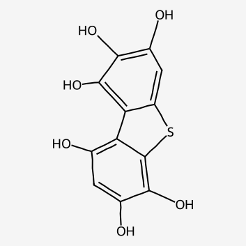 Oc1cc2sc3c(O)c(O)cc(O)c3c2c(O)c1O